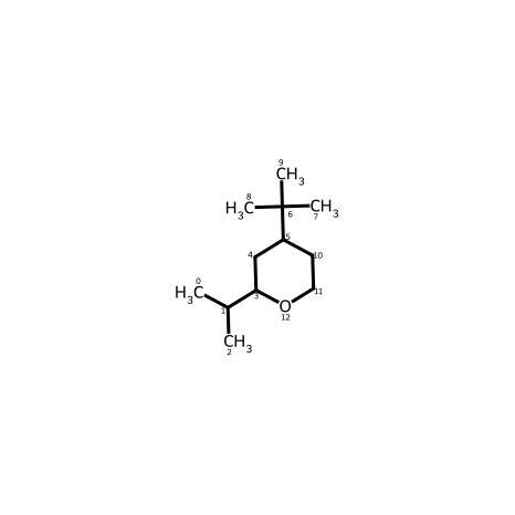 CC(C)C1CC(C(C)(C)C)CCO1